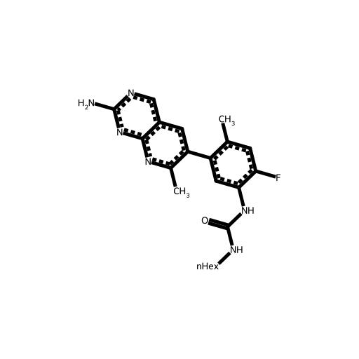 CCCCCCNC(=O)Nc1cc(-c2cc3cnc(N)nc3nc2C)c(C)cc1F